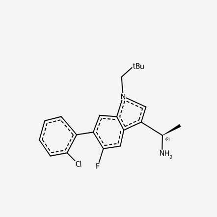 C[C@@H](N)c1cn(CC(C)(C)C)c2cc(-c3ccccc3Cl)c(F)cc12